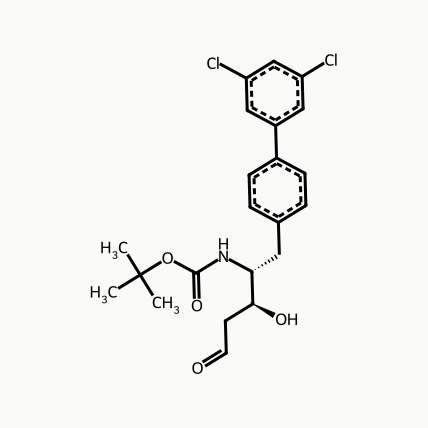 CC(C)(C)OC(=O)N[C@H](Cc1ccc(-c2cc(Cl)cc(Cl)c2)cc1)[C@@H](O)CC=O